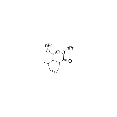 CCCOC(=O)C1CC=CC(C)C1C(=O)OCCC